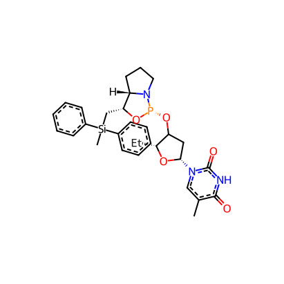 CC[C@H]1O[C@@H](n2cc(C)c(=O)[nH]c2=O)CC1O[P@]1O[C@H](C[Si](C)(c2ccccc2)c2ccccc2)[C@@H]2CCCN21